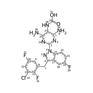 Nc1nc(-n2nc(Cc3cc(F)cc(Cl)c3F)c3cc(F)ccc32)nc(N)c1NC(=O)O